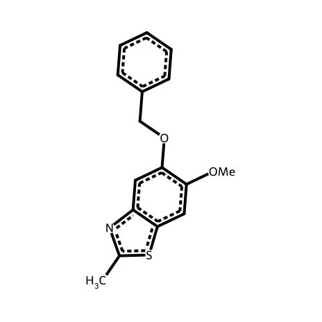 COc1cc2sc(C)nc2cc1OCc1ccccc1